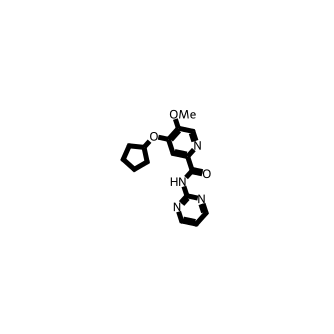 COc1cnc(C(=O)Nc2ncccn2)cc1OC1CCCC1